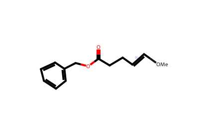 CO/C=C/CCC(=O)OCc1ccccc1